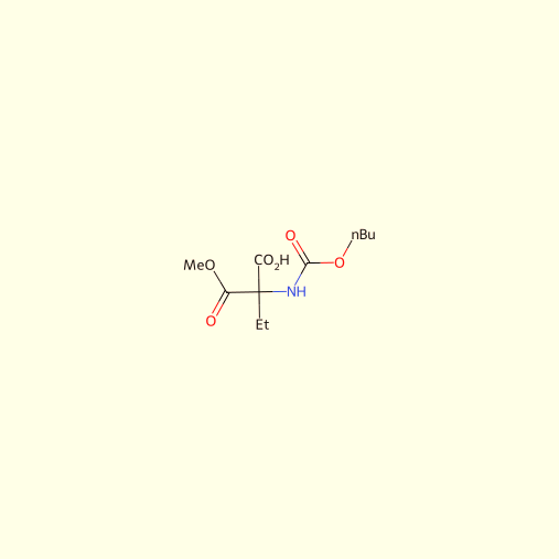 CCCCOC(=O)NC(CC)(C(=O)O)C(=O)OC